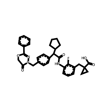 O=C(Nc1cccc(CC2(C(=O)O)CC2)c1F)C(c1ccc(CN2N=C(c3ccccc3)OCC2=O)cc1)C1CCCC1